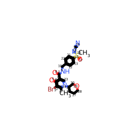 Cc1c(Br)c(=O)c(C(=O)NCc2ccc(S(C)(=O)=NC#N)cc2)cn1C1CCCOC1